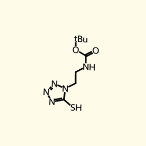 CC(C)(C)OC(=O)NCCn1nnnc1S